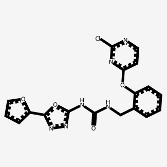 O=C(NCc1ccccc1Oc1ccnc(Cl)n1)Nc1nnc(-c2ccco2)o1